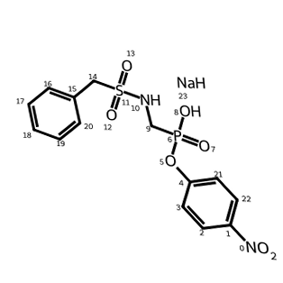 O=[N+]([O-])c1ccc(OP(=O)(O)CNS(=O)(=O)Cc2ccccc2)cc1.[NaH]